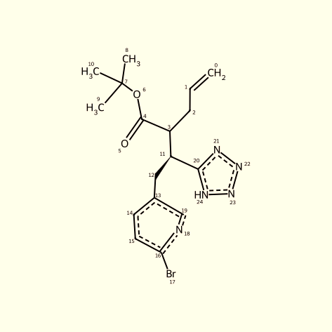 C=CCC(C(=O)OC(C)(C)C)[C@H](Cc1ccc(Br)nc1)c1nnn[nH]1